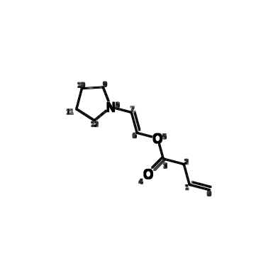 C=CCC(=O)OC=CN1CCCC1